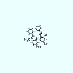 C.Oc1ccc(N=Nc2ccccc2)c(O)c1.Oc1ccc(N=Nc2ccccc2)c(O)c1